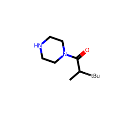 CC(C(=O)N1CCNCC1)C(C)(C)C